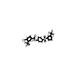 O=C(NC1CCC(S(=O)(=O)c2cccc(C(F)(F)F)c2)CC1)c1ccc(Cl)c(C(F)(F)F)c1